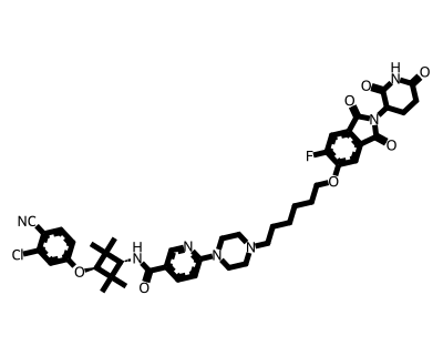 CC1(C)[C@H](NC(=O)c2ccc(N3CCN(CCCCCCOc4cc5c(cc4F)C(=O)N(C4CCC(=O)NC4=O)C5=O)CC3)nc2)C(C)(C)[C@H]1Oc1ccc(C#N)c(Cl)c1